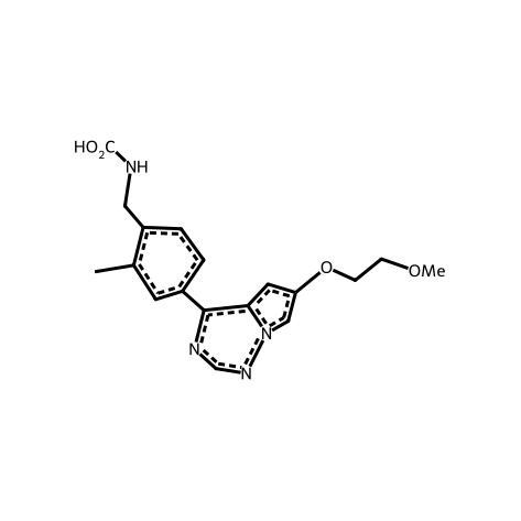 COCCOc1cc2c(-c3ccc(CNC(=O)O)c(C)c3)ncnn2c1